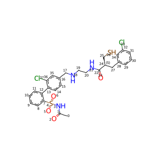 CC(=O)NS(=O)(=O)c1ccccc1-c1ccc(CNCCNC(=O)[C@@H](CS)Cc2cccc(Cl)c2)cc1Cl